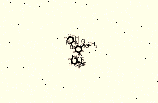 COC(=O)c1cc(Oc2ncccc2C(F)(F)F)ccc1Nc1cccnc1Br